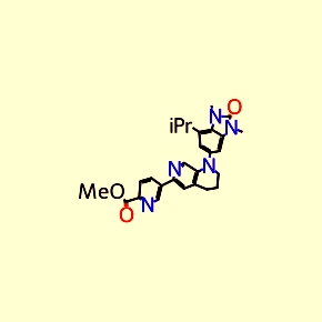 COC(=O)c1ccc(-c2cc3c(cn2)N(c2cc(C(C)C)c4c(c2)n(C)c(=O)n4C)CCC3)cn1